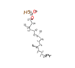 CC(C)CCC[C@@H](C)CCC[C@@H](C)CCCC(C)CCOC(=O)S